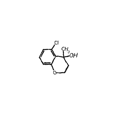 CC1(O)CCOc2cccc(Cl)c21